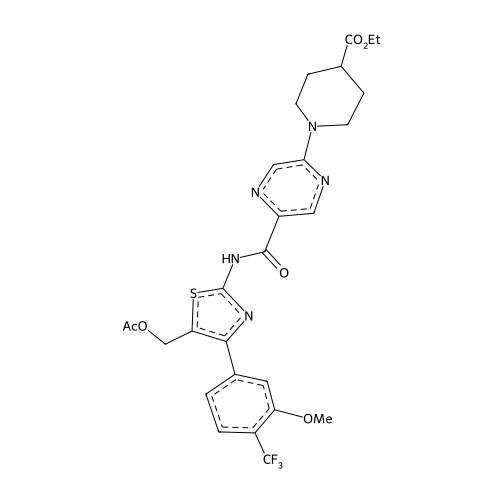 CCOC(=O)C1CCN(c2cnc(C(=O)Nc3nc(-c4ccc(C(F)(F)F)c(OC)c4)c(COC(C)=O)s3)cn2)CC1